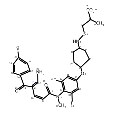 CC(CSNC1CCC(Oc2cc(F)c(N(C)C(=O)/C=C\C(=C\N)C(=O)c3ccc(F)cc3)c(F)c2)CC1)C(=O)O